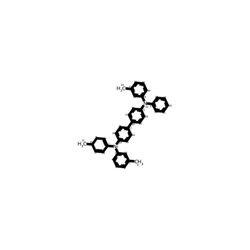 Cc1cccc(N(C2=CCC(C)C=C2)c2ccc(-c3ccc(N(c4ccccc4)c4cccc(C)c4)cc3)cc2)c1